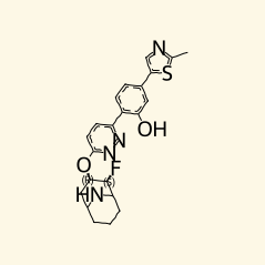 Cc1ncc(-c2ccc(-c3ccc(O[C@@H]4CC5CCCC(N5)[C@@H]4F)nn3)c(O)c2)s1